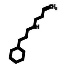 C=CCCNCCCC1CCCCC1